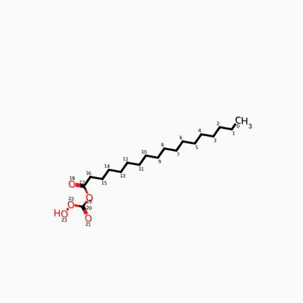 CCCCCCCCCCCCCCCCCC(=O)OC(=O)OO